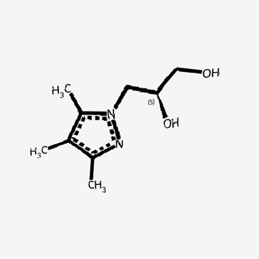 Cc1nn(C[C@H](O)CO)c(C)c1C